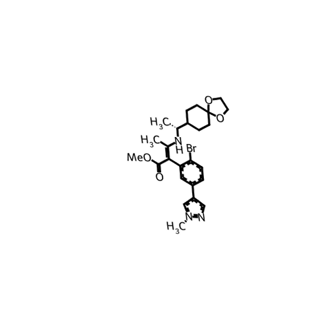 COC(=O)/C(=C(\C)N[C@H](C)C1CCC2(CC1)OCCO2)c1cc(-c2cnn(C)c2)ccc1Br